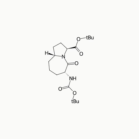 CC(C)(C)OC(=O)N[C@@H]1CCC[C@@H]2CC[C@@H](C(=O)OC(C)(C)C)N2C1=O